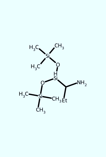 CCC(N)[SiH](O[Si](C)(C)C)O[Si](C)(C)C